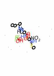 O=C(NS(=O)(=O)c1ccc(NCCSc2ccccc2)c([N+](=O)[O-])c1)c1ccc2c(c1)CC[C@H]1CN(Cc3ccccc3-c3ccc4ccccc4c3)CCN21.O=C(O)C(F)(F)F